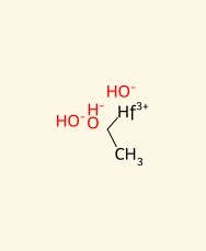 C[CH2][Hf+3].[OH-].[OH-].[OH-]